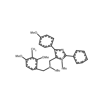 CCCCN(Cc1ccc(OC)c(C)c1OC)Cc1c(-c2ccc(OC)cc2)nc(-c2ccccc2)n1CCCC